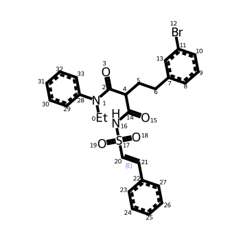 CCN(C(=O)C(CCc1cccc(Br)c1)C(=O)NS(=O)(=O)/C=C/c1ccccc1)c1ccccc1